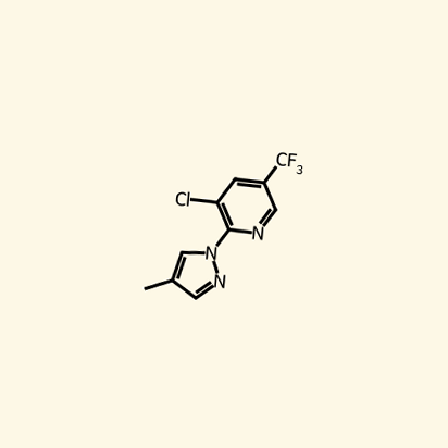 Cc1cnn(-c2ncc(C(F)(F)F)cc2Cl)c1